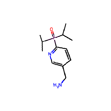 CC(C)P(=O)(c1ccc(CN)cn1)C(C)C